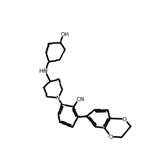 N#Cc1c(-c2ccc3c(c2)OCCO3)cccc1N1CCC(NC2CCC(O)CC2)CC1